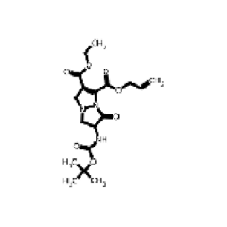 C=CCOC(=O)C1=C(C(=O)OCC)CN2CC(NC(=O)OC(C)(C)C)C(=O)N12